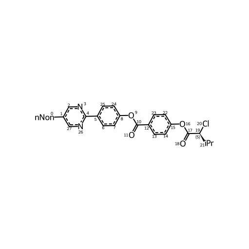 CCCCCCCCCc1cnc(-c2ccc(OC(=O)c3ccc(OC(=O)[C@@H](Cl)C(C)C)cc3)cc2)nc1